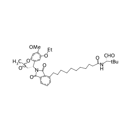 CCOc1cc([C@@H](CS(C)(=O)=O)N2C(=O)c3cccc(CCCCCCCCCCC(=O)N[C@H](C=O)C(C)(C)C)c3C2=O)ccc1OC